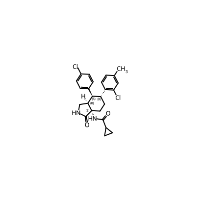 Cc1ccc([C@@H]2CC[C@@]3(NC(=O)C4CC4)C(=O)NC[C@H]3[C@H]2c2ccc(Cl)cc2)c(Cl)c1